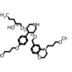 CCC[C@@H](O)CO[C@@H]1CNC[C@H](OCc2ccc3c(c2)N(CCCOC)CCO3)C1c1ccc(OCCCOC)cc1